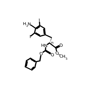 COC(=O)[C@@H](Cc1cc(I)c(N)c(I)c1)NC(=O)OCc1ccccc1